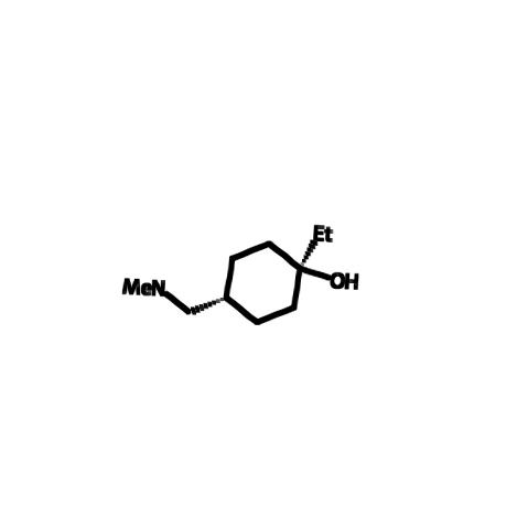 CC[C@]1(O)CC[C@H](CNC)CC1